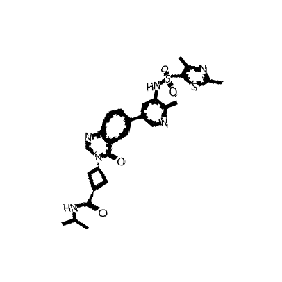 Cc1nc(C)c(S(=O)(=O)Nc2cc(-c3ccc4ncn([C@H]5C[C@H](C(=O)NC(C)C)C5)c(=O)c4c3)cnc2C)s1